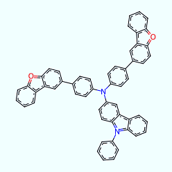 c1ccc(-n2c3ccccc3c3cc(N(c4ccc(-c5ccc6oc7ccccc7c6c5)cc4)c4ccc(-c5ccc6oc7ccccc7c6c5)cc4)ccc32)cc1